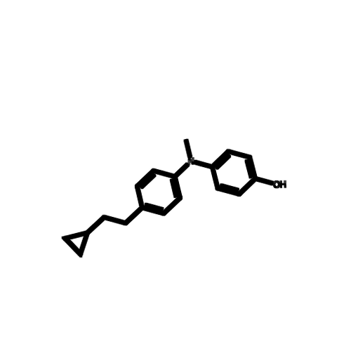 CN(c1ccc(O)cc1)c1ccc(CCC2CC2)cc1